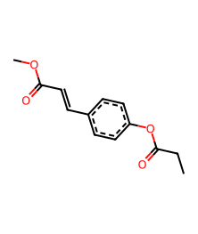 CCC(=O)Oc1ccc(C=CC(=O)OC)cc1